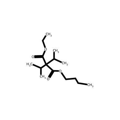 CCCCOC(=O)C(C(=O)OCC)(C(C)C)C(C)C